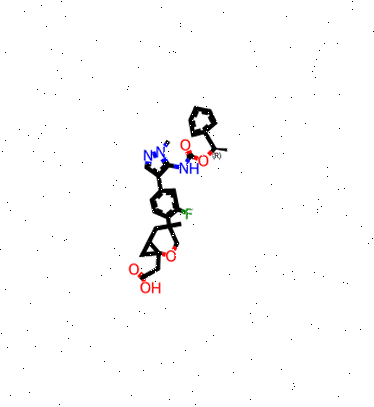 C[C@@H](OC(=O)Nc1c(-c2ccc(C3(C)COC4(CC(=O)O)CC4C3)c(F)c2)cnn1C)c1ccccc1